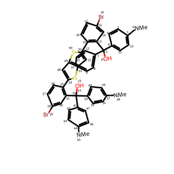 CNc1ccc(C(O)(c2ccccc2)c2cc(Br)ccc2-c2cc3sc(-c4ccc(Br)cc4C(O)(c4ccc(NC)cc4)c4ccc(NC)cc4)cc3s2)cc1